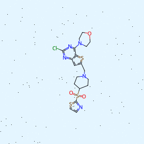 O=S(=O)(c1nccs1)C1CCN(Cc2cc3nc(Cl)nc(N4CCOCC4)c3s2)CC1